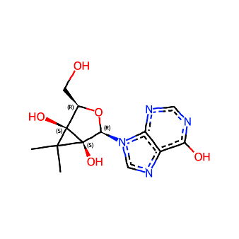 CC1(C)[C@]2(O)[C@@H](CO)O[C@@H](n3cnc4c(O)ncnc43)[C@]12O